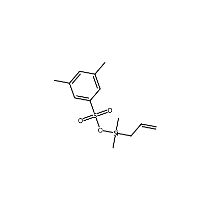 C=CC[Si](C)(C)OS(=O)(=O)c1cc(C)cc(C)c1